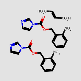 O=C(O)/C=C/C(=O)O.O=C(OCc1ccccc1[N+](=O)[O-])n1ccnc1.O=C(OCc1ccccc1[N+](=O)[O-])n1ccnc1